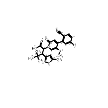 COc1cn(C(C(=O)O)C(c2cc(C)on2)C(C)(C)C)c(=O)cc1-c1cc(Cl)ccc1C#N